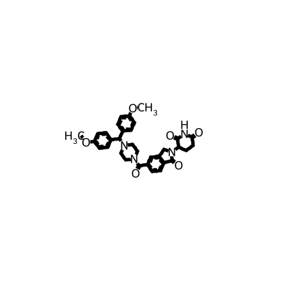 COc1ccc(C(c2ccc(OC)cc2)N2CCN(C(=O)c3ccc4c(c3)CN(C3CCC(=O)NC3=O)C4=O)CC2)cc1